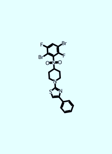 O=S(=O)(c1c(F)c(Br)cc(F)c1Br)C1CCN(c2nc(-c3ccccc3)cs2)CC1